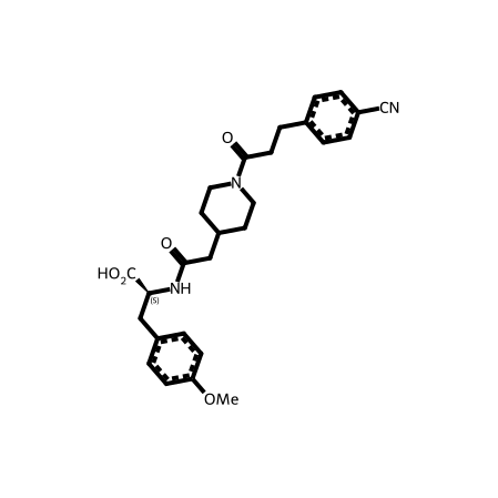 COc1ccc(C[C@H](NC(=O)CC2CCN(C(=O)CCc3ccc(C#N)cc3)CC2)C(=O)O)cc1